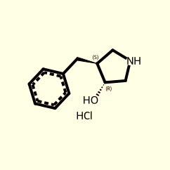 Cl.O[C@H]1CNC[C@@H]1Cc1ccccc1